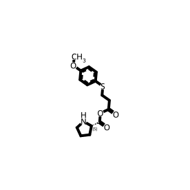 COc1ccc(SCCC(=O)OC(=O)[C@@H]2CCCN2)cc1